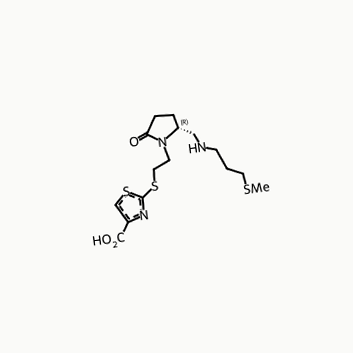 CSCCCNC[C@H]1CCC(=O)N1CCSc1nc(C(=O)O)cs1